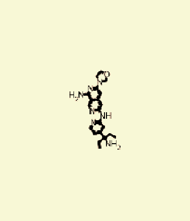 CCC(N)(CC)c1ccnc(Nc2cc3cc(N4CCOC4)nc(N)c3cn2)c1